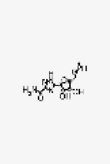 CPOC[C@H]1O[C@@H](c2nc(C(N)=O)n[nH]2)[C@H](O)[C@@H]1O